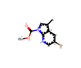 Cc1cn(C(=O)OC(C)(C)C)c2ncc(Br)cc12